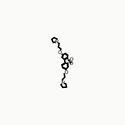 O=S1(=O)c2ccc(OCCCN3CCCC3)cc2-c2ccc(OCCCN3CCCC3)cc21